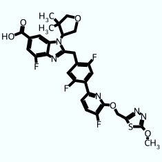 COc1nnc(COc2nc(-c3cc(F)c(Cc4nc5c(F)cc(C(=O)O)cc5n4C4COCC4(C)C)cc3F)ccc2F)s1